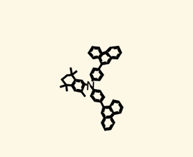 Cc1cc2c(cc1N(c1ccc(-c3cc4ccccc4c4ccccc34)cc1)c1ccc(-c3cc4ccccc4c4ccccc34)cc1)C(C)(C)CCC2(C)C